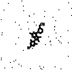 Cc1nc(N2CCCC(CC#N)C2)c2c(C)c(C)n(-c3c(C)cc(Br)cc3C)c2n1